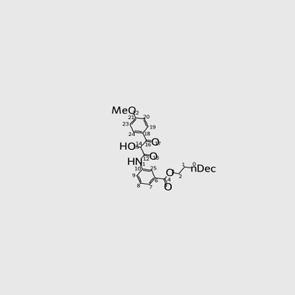 CCCCCCCCCCCCOC(=O)c1cccc(NC(=O)C(O)C(=O)c2ccc(OC)cc2)c1